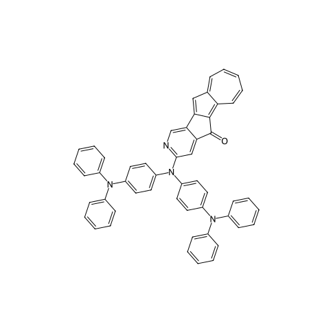 O=C1c2cc(N(c3ccc(N(c4ccccc4)c4ccccc4)cc3)c3ccc(N(c4ccccc4)c4ccccc4)cc3)ncc2-c2cc3cccccc-3c21